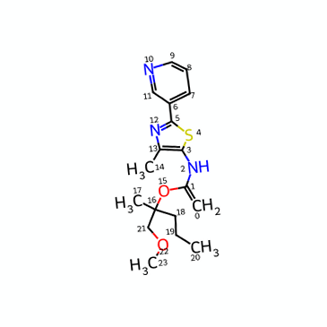 C=C(Nc1sc(-c2cccnc2)nc1C)OC(C)(CCC)COC